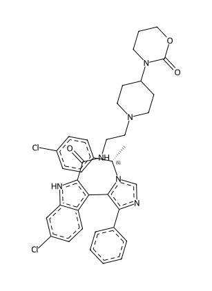 C[C@@H](c1ccc(Cl)cc1)n1cnc(-c2ccccc2)c1-c1c(C(=O)NCCN2CCC(N3CCCOC3=O)CC2)[nH]c2cc(Cl)ccc12